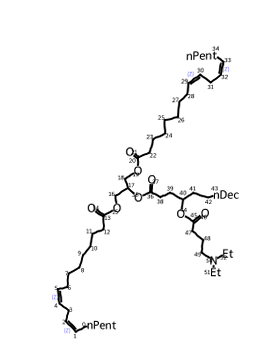 CCCCC/C=C\C/C=C\CCCCCCCC(=O)OCC(COC(=O)CCCCCCC/C=C\C/C=C\CCCCC)OC(=O)CCC(CCCCCCCCCCCC)OC(=O)CCCN(CC)CC